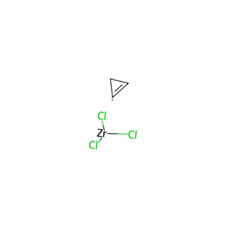 [C]1=CC1.[Cl][Zr]([Cl])[Cl]